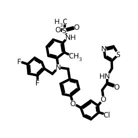 Cc1c(NS(C)(=O)=O)cccc1N(Cc1ccc(Oc2ccc(Cl)c(OCC(=O)NCc3cncs3)c2)cc1)Cc1ccc(F)cc1F